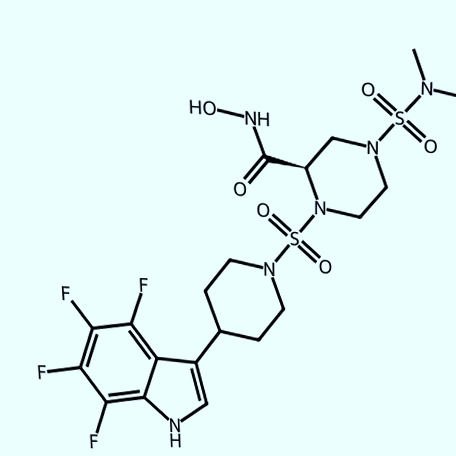 CN(C)S(=O)(=O)N1CCN(S(=O)(=O)N2CCC(c3c[nH]c4c(F)c(F)c(F)c(F)c34)CC2)[C@@H](C(=O)NO)C1